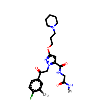 CC(C)NC(=O)CNC(=O)c1cc(OCCCN2CCCCC2)nn1CC(=O)c1ccc(F)c(C(F)(F)F)c1